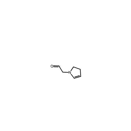 O=[C]CN1C=CCC1